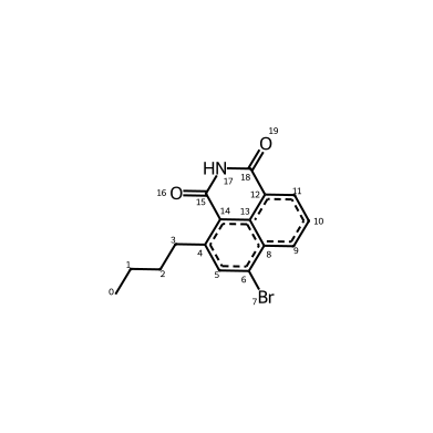 CCCCc1cc(Br)c2cccc3c2c1C(=O)NC3=O